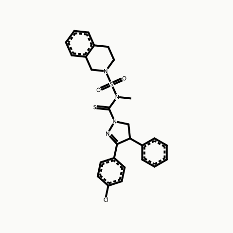 CN(C(=S)N1CC(c2ccccc2)C(c2ccc(Cl)cc2)=N1)S(=O)(=O)N1CCc2ccccc2C1